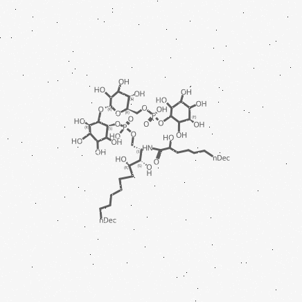 CCCCCCCCCCCCCCCC[C@@H](O)[C@@H](O)[C@H](COP(=O)(O)O[C@H]1C(O)C(O)C(O)[C@@H](O)C1O[C@H]1O[C@H](COP(=O)(O)OC2C(O)C(O)C(O)[C@@H](O)C2O)[C@@H](O)C(O)C1O)NC(=O)C(O)CCCCCCCCCCCCCC